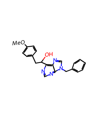 COc1ccc(CC(O)c2ncnc3c2ncn3Cc2ccccc2)cc1